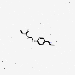 C=CC(=O)OCOc1ccc(/C=C/C)cc1